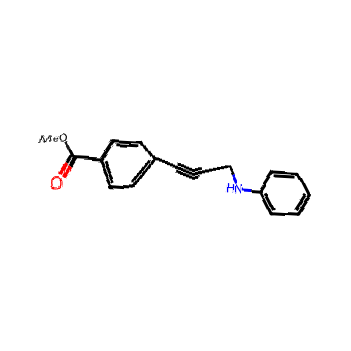 COC(=O)c1ccc(C#CCNc2ccccc2)cc1